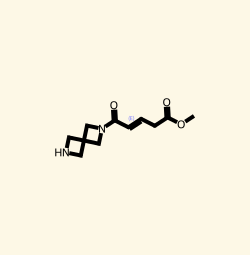 COC(=O)C/C=C/C(=O)N1CC2(CNC2)C1